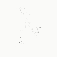 C[C@@H]1CN(C(=O)OC(C)(C)C)[C@@H](C)CN1CCCN(C(=O)Nc1cc(Cl)nc(Cl)c1)C1COc2ccc(Br)cc2C1